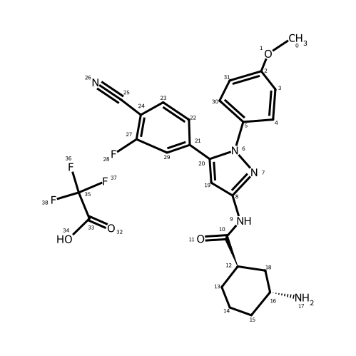 COc1ccc(-n2nc(NC(=O)[C@@H]3CCC[C@@H](N)C3)cc2-c2ccc(C#N)c(F)c2)cc1.O=C(O)C(F)(F)F